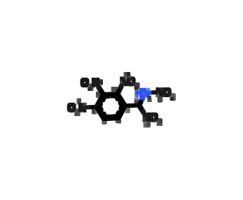 O=[N+]([O-])NC(c1ccc([N+](=O)[O-])c([N+](=O)[O-])c1[N+](=O)[O-])[N+](=O)[O-]